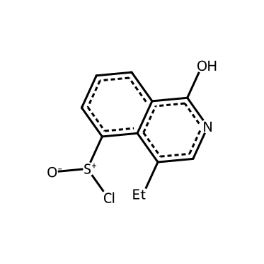 CCc1cnc(O)c2cccc([S+]([O-])Cl)c12